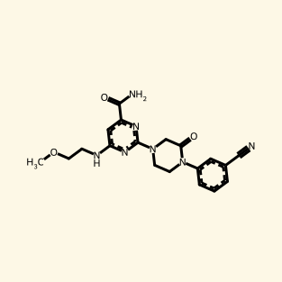 COCCNc1cc(C(N)=O)nc(N2CCN(c3cccc(C#N)c3)C(=O)C2)n1